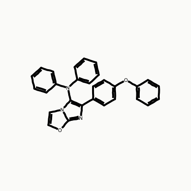 c1ccc(Oc2ccc(-c3nc4occn4c3N(c3ccccc3)c3ccccc3)cc2)cc1